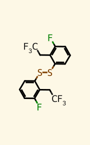 Fc1cccc(SSc2cccc(F)c2CC(F)(F)F)c1CC(F)(F)F